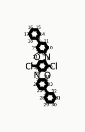 Clc1c2c(c(Cl)c3c1=Nc1ccc(-c4ccccc4)cc1O3)=Nc1ccc(-c3ccccc3)cc1O2